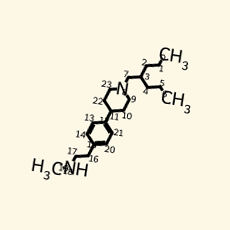 CCCC(CCC)CN1CCC(c2ccc(CCNC)cc2)CC1